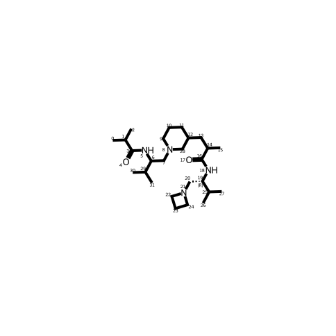 CC(C)C(=O)NC(CN1CCCC(CC(C)C(=O)N[C@@H](CN2CCC2)C(C)C)C1)C(C)C